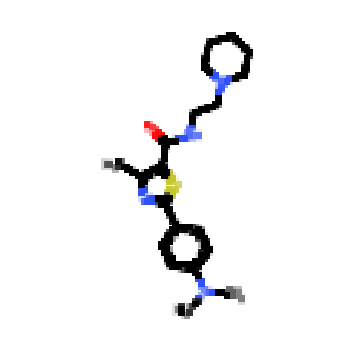 Cc1nc(-c2ccc(N(C)C)cc2)sc1C(=O)NCCN1CCCCC1